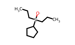 CCC[Si]([O])(CCC)C1CCCC1